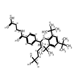 CC(C)(C)c1cc(C(C)(C)C)c(OC(CCCC(F)(F)F)c2ccc(C(=O)NCCC(=O)O)cc2)c(C(C)(C)C)c1